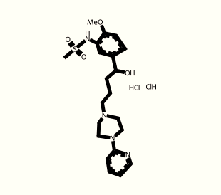 COc1ccc(C(O)CCCN2CCN(c3ccccn3)CC2)cc1NS(C)(=O)=O.Cl.Cl